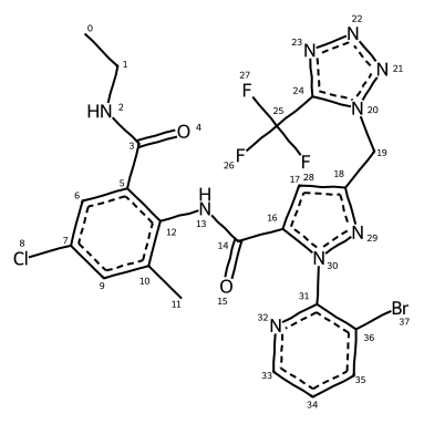 CCNC(=O)c1cc(Cl)cc(C)c1NC(=O)c1cc(Cn2nnnc2C(F)(F)F)nn1-c1ncccc1Br